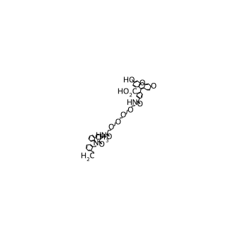 C=Cc1ccccc1CN(C(=O)CCNC(=O)CCOCCOCCOCCOCCNC(=O)c1ccc(-c2c3ccc(=O)cc-3oc3cc(O)ccc23)c(C(=O)O)c1)c1ccccc1C